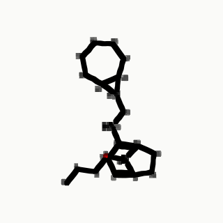 CCCCN1C2=CCC(NCN3C4CCCCCC43)=C1CC2